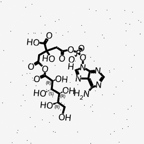 Nc1ncnc2c1ncn2OP(=O)(O)OC(=O)CC(O)(CC(=O)OC(=O)[C@H](O)[C@@H](O)[C@H](O)[C@H](O)CO)C(=O)O